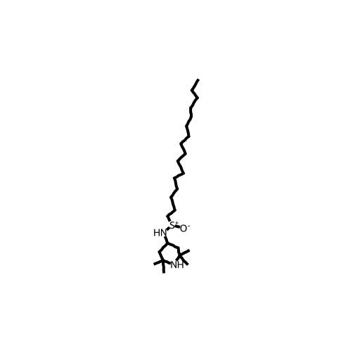 CCCCCCCCCCCCCCCC[S+]([O-])NC1CC(C)(C)NC(C)(C)C1